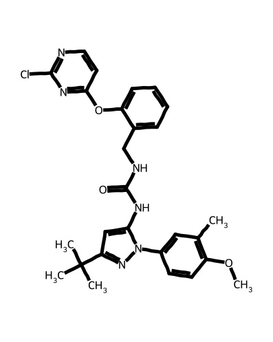 COc1ccc(-n2nc(C(C)(C)C)cc2NC(=O)NCc2ccccc2Oc2ccnc(Cl)n2)cc1C